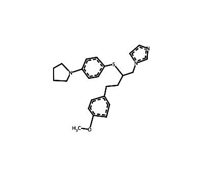 COc1ccc(CCC(Cn2ccnc2)Sc2ccc(N3CCCC3)cc2)cc1